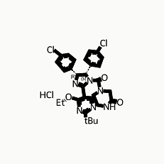 CCOc1nc(C(C)(C)C)ncc1C1=N[C@H](c2ccc(Cl)cc2)[C@H](c2ccc(Cl)cc2)N1C(=O)N1CCNC(=O)C1.Cl